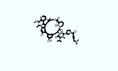 CCn1c(-c2cccnc2[C@H](C)OC)c2c3cc(c(Cl)cc31)-c1cc(O)cc(c1)C[C@H](NC(=O)[C@H](C(C)C)N(C)C(=O)[C@H]1CCN(C(=O)C#CCN(C)C)C1)C(=O)N1CCC[C@H](N1)C(=O)OCC(C)(C)C2